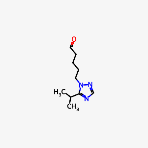 CC(C)c1ncnn1CCCCC=O